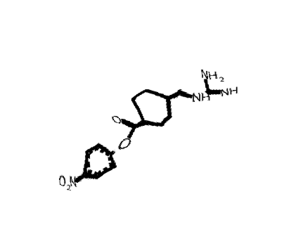 N=C(N)NCC1CCC(C(=O)Oc2ccc([N+](=O)[O-])cc2)CC1